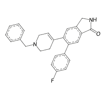 O=C1NCc2cc(C3=CCN(Cc4ccccc4)CC3)c(-c3ccc(F)cc3)cc21